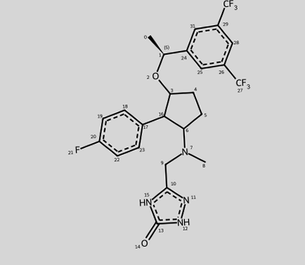 C[C@H](OC1CCC(N(C)Cc2n[nH]c(=O)[nH]2)C1c1ccc(F)cc1)c1cc(C(F)(F)F)cc(C(F)(F)F)c1